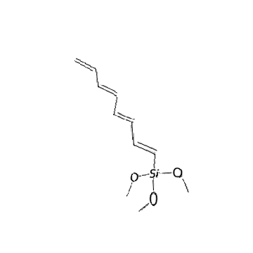 C=CC=CC=CC=C[Si](OC)(OC)OC